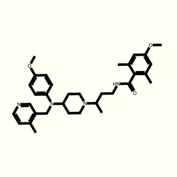 COc1ccc(N(Cc2cnccc2C)C2CCN(C(C)CCNC(=O)c3c(C)cc(OC)cc3C)CC2)cc1